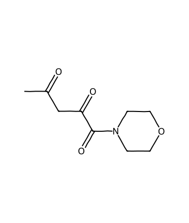 CC(=O)CC(=O)C(=O)N1CCOCC1